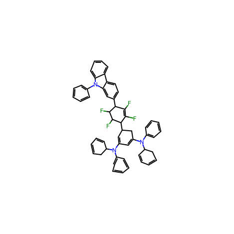 FC1=C(F)C(C2C=C(N(c3ccccc3)C3C=CC=CC3)C=C(N(c3ccccc3)C3C=CC=CC3)C2)C(F)C(F)C1c1ccc2c3ccccc3n(-c3ccccc3)c2c1